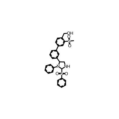 CS(=O)(=O)c1cc(-c2cccc(C3CNC(S(=O)(=O)c4ccccc4)N3c3ccccc3)c2)ccc1CO